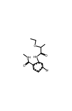 CCOC(C)C(=O)Nc1cc(Br)ccc1C(=O)NC